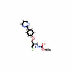 CC(C)(C)OC(=O)NC/C(=C\F)COc1ccc(-c2ncccn2)cc1